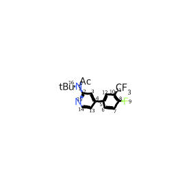 CC(=O)N(c1cc(-c2ccc(F)c(C(F)(F)F)c2)ccn1)C(C)(C)C